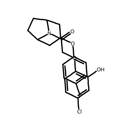 O=C(COc1ccc(Cl)cc1O)N1C2CCC1CC(Oc1ccc(F)cc1)C2